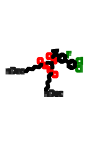 CCCCCCCCCCCCCCCC(=O)OCC(COC(=O)CCCCCCCCCCCCCCC)OC(=O)C1(c2ccc(-c3ccc(Cl)c(Cl)c3)c(F)c2)CC1